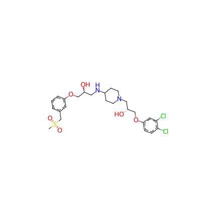 CS(=O)(=O)Cc1cccc(OC[C@@H](O)CNC2CCN(C[C@@H](O)COc3ccc(Cl)c(Cl)c3)CC2)c1